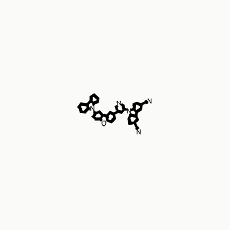 N#Cc1ccc2c(c1)c1cc(C#N)ccc1n2-c1cncc(-c2ccc3oc4ccc(-n5c6ccccc6c6ccccc65)cc4c3c2)c1